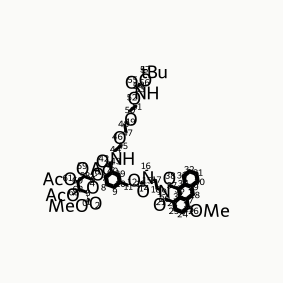 COC(=O)[C@H]1O[C@@H](Oc2ccc(COC(=O)N(C)CCN3C(=O)c4ccc(OC)c5cc6ccccc6c(c45)C3=O)cc2C(=O)NCCOCCOCCONC(=O)OC(C)(C)C)[C@H](OC(C)=O)[C@@H](OC(C)=O)[C@@H]1OC(C)=O